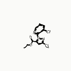 CCOC(=O)c1cc(Cl)nn1-c1ncccc1Cl